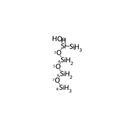 O[SiH]([SiH3])O[SiH2]O[SiH2]O[SiH3]